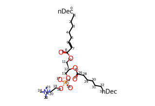 CCCCCCCCCCCCCCCC=CC(=O)OC[C@H](COP(=O)([O-])OCC[N+](C)(C)C)OC(=O)CCCCCCCCCCCCCCC